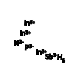 [In+3].[In+3].[In+3].[N-3].[P-3].[SbH6-3]